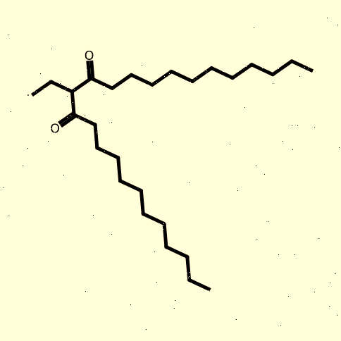 [CH2]CC(C(=O)CCCCCCCCCCC)C(=O)CCCCCCCCCCC